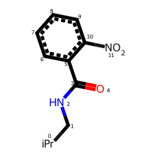 CC(C)CNC(=O)c1ccccc1[N+](=O)[O-]